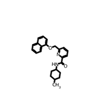 CC1CCC(NC(=O)c2cccc(COc3cccc4ccccc34)n2)CC1